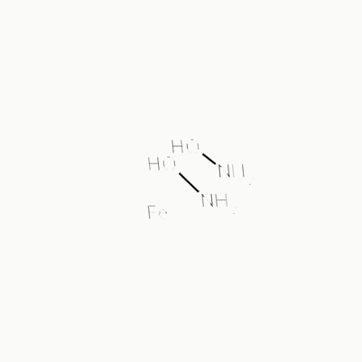 NO.NO.[Fe]